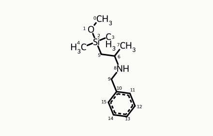 CO[Si](C)(C)CC(C)NCc1ccccc1